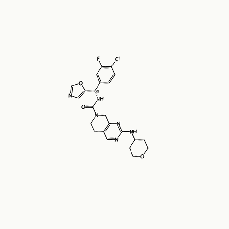 O=C(N[C@@H](c1ccc(Cl)c(F)c1)c1cnco1)N1CCc2cnc(NC3CCOCC3)nc2C1